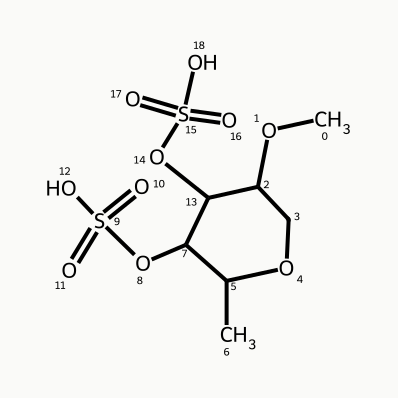 COC1COC(C)C(OS(=O)(=O)O)C1OS(=O)(=O)O